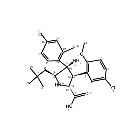 COc1ccc(Cl)cc1[C@H]1[C@H](C(=O)O)N[C@@H](CC(C)(C)C)[C@]1(N)c1ccc(Cl)cc1F